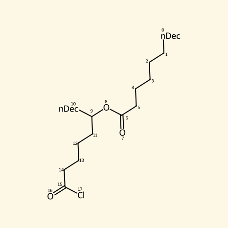 CCCCCCCCCCCCCCCC(=O)OC(CCCCCCCCCC)CCCCC(=O)Cl